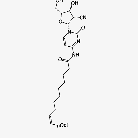 CCCCCCCC/C=C\CCCCCCCC(=O)Nc1ccn([C@@H]2O[C@H](CO)[C@@H](O)[C@@H]2C#N)c(=O)n1